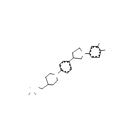 CC(C)(C)[Si](C)(C)OCC1CCN(c2ccc(C3CCN(c4ccc(C#N)c(C(F)(F)F)c4)C3)cc2)CC1